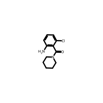 Nc1cccc(Cl)c1C(=O)N1CCCCC1